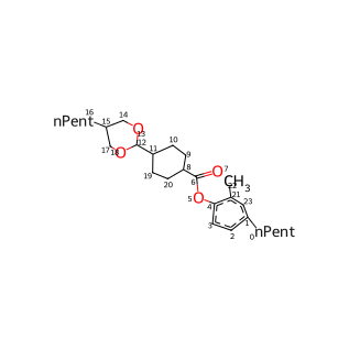 CCCCCc1ccc(OC(=O)C2CCC(C3OCC(CCCCC)CO3)CC2)c(C)c1